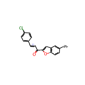 CC(C)c1ccc2oc(C(=O)/C=C/c3ccc(Cl)cc3)cc2c1